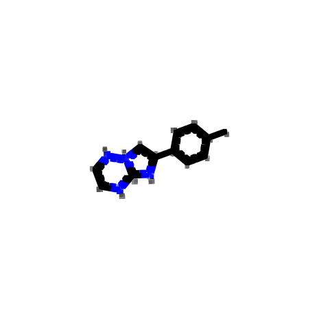 Cc1ccc(-c2cn3nccnc3n2)cc1